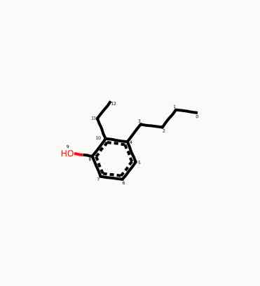 CCCCc1cccc(O)c1CC